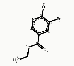 CCOC(=O)c1cnc(O)c(Br)c1